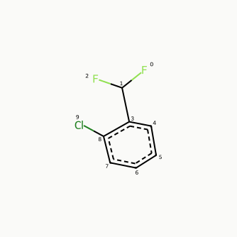 FC(F)c1ccccc1Cl